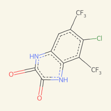 O=c1[nH]c2cc(C(F)(F)F)c(Cl)c(C(F)(F)F)c2[nH]c1=O